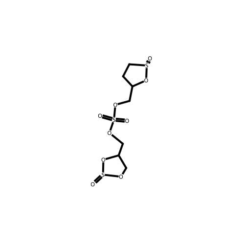 O=S1CCC(COS(=O)(=O)OCC2COS(=O)O2)O1